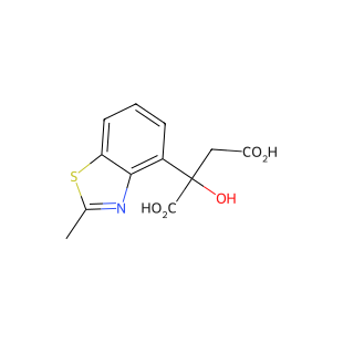 Cc1nc2c(C(O)(CC(=O)O)C(=O)O)cccc2s1